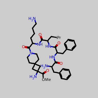 COC(=O)C1(N)CC2(CCN(C(=O)C(CCCCN)NC(=O)C(CC(C)C)NC(=O)C(Cc3ccccc3)NC(=O)C(N)Cc3ccccc3)CC2)C1